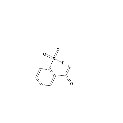 O=P(=O)c1ccccc1S(=O)(=O)F